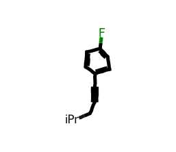 CC(C)CC#Cc1ccc(F)cc1